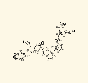 NCc1cc(Cl)c(OCc2cccc(-c3cccc(OCCN(CCO)CCO)c3)c2Cl)cc1OCc1ccc2nonc2c1